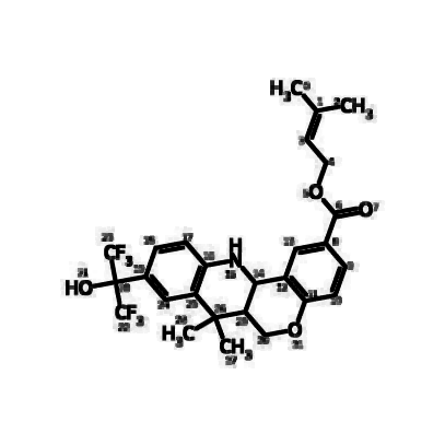 CC(C)=CCOC(=O)c1ccc2c(c1)C1Nc3ccc(C(O)(C(F)(F)F)C(F)(F)F)cc3C(C)(C)C1CO2